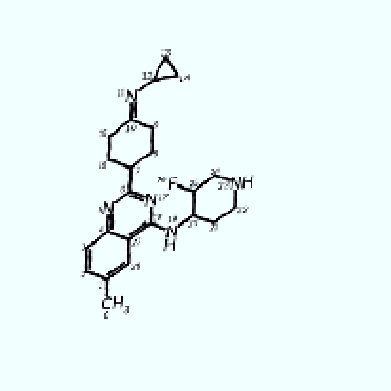 Cc1ccc2nc(C3CCC(=NC4CC4)CC3)nc(NC3CCNCC3F)c2c1